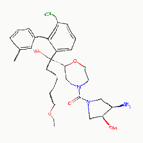 COCCCCC(O)(c1cccc(Cl)c1-c1cccc(C)c1)C1CN(C(=O)N2C[C@@H](N)[C@@H](O)C2)CCO1